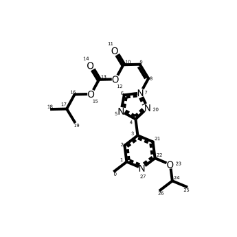 Cc1cc(-c2ncn(/C=C\C(=O)OC(=O)OCC(C)C)n2)cc(OC(C)C)n1